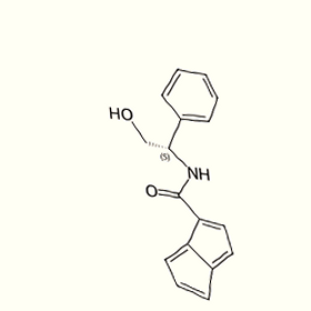 O=C(N[C@H](CO)c1ccccc1)C1=CC=C2C=CC=C21